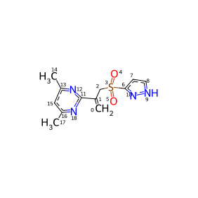 C=C(CS(=O)(=O)c1cc[nH]n1)c1nc(C)cc(C)n1